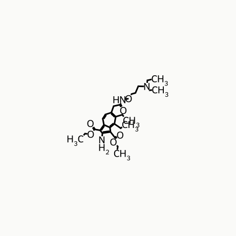 CCOC(=O)c1c2ccc(CC(=O)NOCCCN(CC)CC)c(CC)c(CC)c-2c(C(=O)OCC)c1N